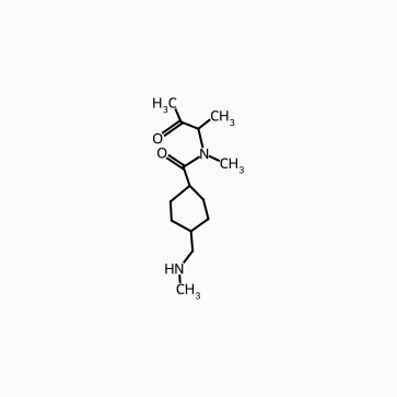 CNCC1CCC(C(=O)N(C)C(C)C(C)=O)CC1